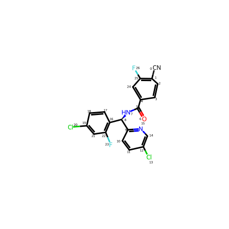 N#Cc1ccc(C(=O)N[C@@H](c2ccc(Cl)cn2)c2ccc(Cl)cc2F)cc1F